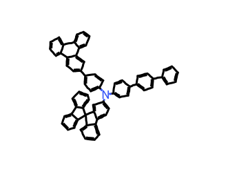 c1ccc(-c2ccc(-c3ccc(N(c4ccc(-c5ccc6c7ccccc7c7ccccc7c6c5)cc4)c4ccc5c(c4)C4(c6ccccc6-c6ccccc64)c4ccccc4-5)cc3)cc2)cc1